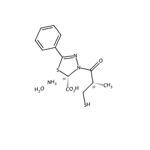 C[C@H](CS)C(=O)N1N=C(c2ccccc2)S[C@H]1C(=O)O.N.O